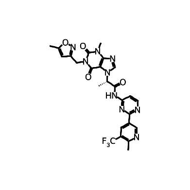 Cc1cc(Cn2c(=O)c3c(ncn3[C@@H](C)C(=O)Nc3ccnc(-c4cnc(C)c(C(F)(F)F)c4)n3)n(C)c2=O)no1